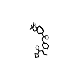 C/C=C(/C(=O)C1CCC1)[C@H]1CCC=C(CC(=O)C2=CC3=C(C=C=C2)N(C)C(C)(C)C3)C1